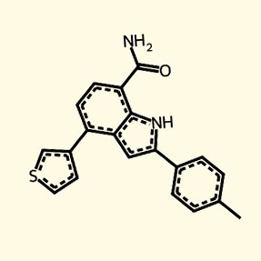 Cc1ccc(-c2cc3c(-c4ccsc4)ccc(C(N)=O)c3[nH]2)cc1